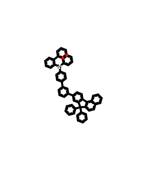 c1ccc(-c2ccccc2N(c2ccccc2)c2ccc(-c3cccc(-c4ccc5c(c4)C(c4ccccc4)(c4ccccc4)c4ccc6ccccc6c4-5)c3)cc2)cc1